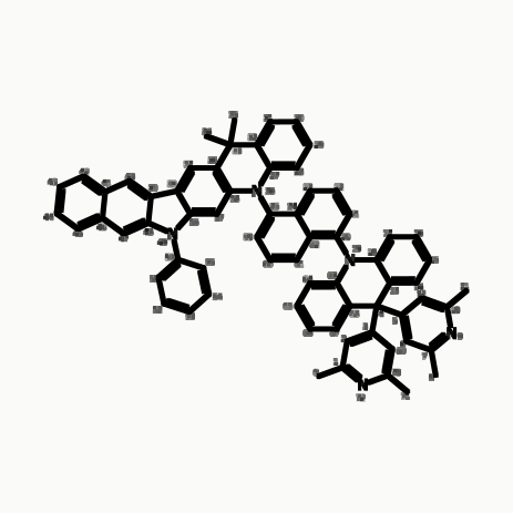 Cc1cc(C2(c3cc(C)nc(C)c3)c3ccccc3N(c3cccc4c(N5c6ccccc6C(C)(C)c6cc7c8cc9ccccc9cc8n(-c8ccccc8)c7cc65)cccc34)c3ccccc32)cc(C)n1